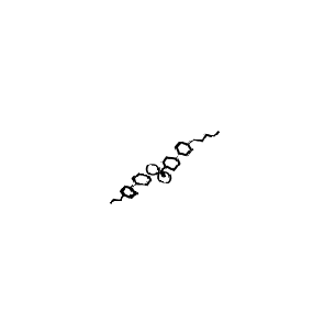 CCCCC[C@H]1CC[C@H](C2CCC(C(=O)O[C@H]3CC[C@H](c4ccc(CCC)cc4)CC3)CC2)CC1